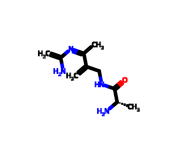 C=C(N)/N=C(/C)C(=C)CNC(=O)[C@H](C)N